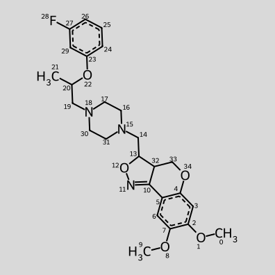 COc1cc2c(cc1OC)C1=NOC(CN3CCN(CC(C)Oc4cccc(F)c4)CC3)C1CO2